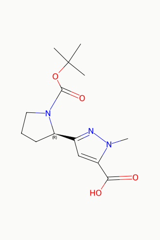 Cn1nc([C@H]2CCCN2C(=O)OC(C)(C)C)cc1C(=O)O